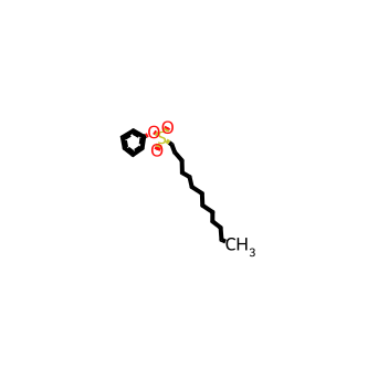 CCCCCCCCCCCCCS(=O)(=O)Oc1ccccc1